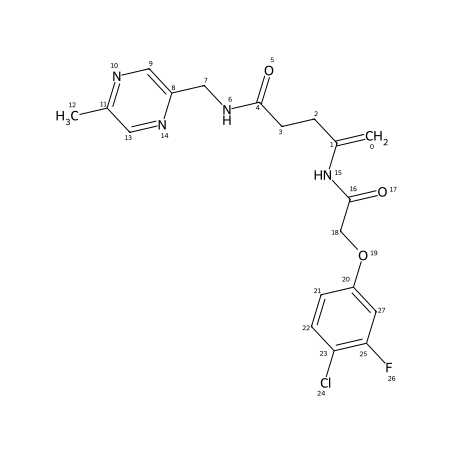 C=C(CCC(=O)NCc1cnc(C)cn1)NC(=O)COc1ccc(Cl)c(F)c1